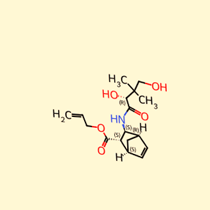 C=CCOC(=O)[C@@H]1[C@@H](NC(=O)[C@H](O)C(C)(C)CO)[C@H]2C=C[C@@H]1C2